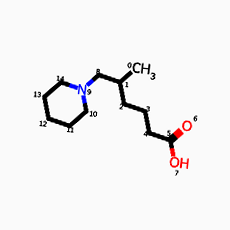 CC(CCCC(=O)O)CN1CCCCC1